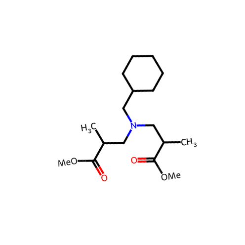 COC(=O)C(C)CN(CC1CCCCC1)CC(C)C(=O)OC